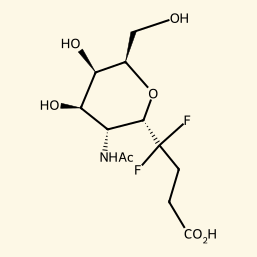 CC(=O)N[C@@H]1[C@@H](O)[C@@H](O)[C@@H](CO)O[C@@H]1C(F)(F)CCC(=O)O